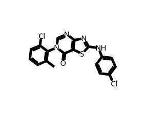 Cc1cccc(Cl)c1-n1cnc2nc(Nc3ccc(Cl)cc3)sc2c1=O